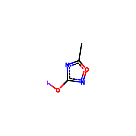 Cc1nc(OI)no1